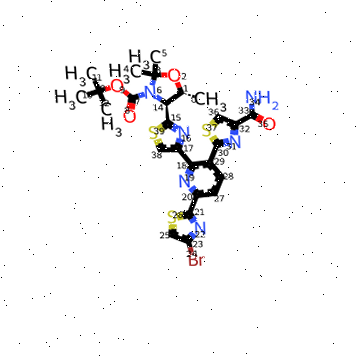 C[C@H]1OC(C)(C)N(C(=O)OC(C)(C)C)[C@@H]1c1nc(-c2nc(-c3nc(Br)cs3)ccc2-c2nc(C(N)=O)cs2)cs1